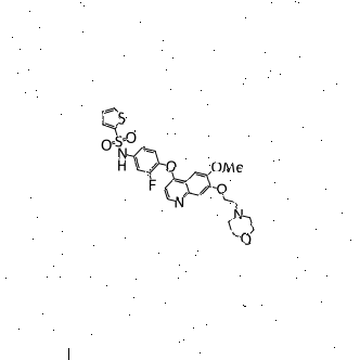 COc1cc2c(Oc3ccc(NS(=O)(=O)c4cccs4)cc3F)ccnc2cc1OCCN1CCOCC1